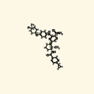 C[C@@H]1[C@H](NC(=O)c2ccc(C3CC3)nc2)CCCN1c1cnc(C(N)=O)c(Nc2ccc(OC3CCC(F)(F)CC3)cc2)n1